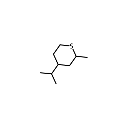 CC1CC(C(C)C)CCS1